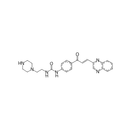 O=C(NCCN1CCNCC1)Nc1ccc(C(=O)/C=C/c2cnc3ccccc3n2)cc1